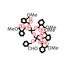 COC(=O)c1ccccc1C(=O)OCC(COCc1ccccc1C=O)(COCC(COC(=O)c1ccccc1C(=O)OC)(COC(=O)c1ccccc1C(=O)OC)COC(=O)c1ccccc1C(=O)OC)COC(=O)c1ccccc1C(=O)OC